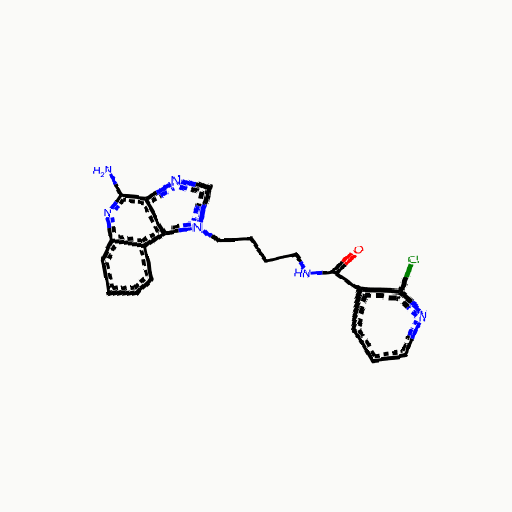 Nc1nc2ccccc2c2c1ncn2CCCCNC(=O)c1cccnc1Cl